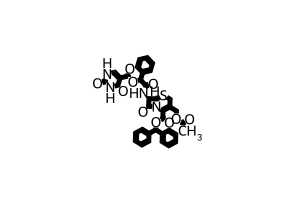 CC(=O)OCC1=C(C(=O)OC(c2ccccc2)c2ccccc2)N2C(=O)[C@H](NC(=O)C(OC(=O)c3c[nH]c(=O)[nH]c3=O)c3ccccc3)[C@H]2SC1